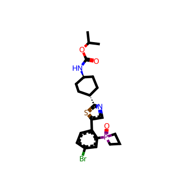 CC(C)OC(=O)N[C@H]1CC[C@H](c2ncc(-c3ccc(Br)cc3P3(=O)CCC3)s2)CC1